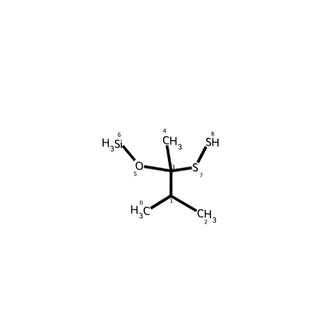 CC(C)C(C)(O[SiH3])SS